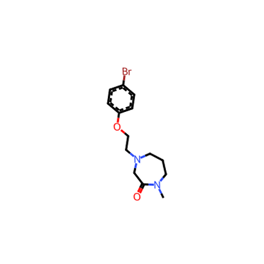 CN1CCCN(CCOc2ccc(Br)cc2)CC1=O